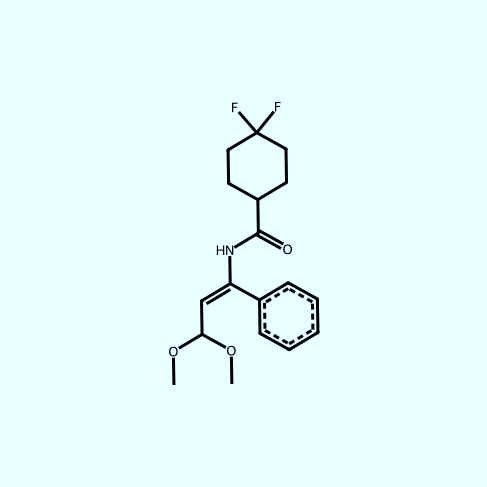 COC(C=C(NC(=O)C1CCC(F)(F)CC1)c1ccccc1)OC